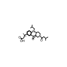 CC(C)CC(=O)N1CCC(N(CC(C)C)c2ccc([C@H](C)CC(=O)O)cc2[N+](=O)[O-])CC1